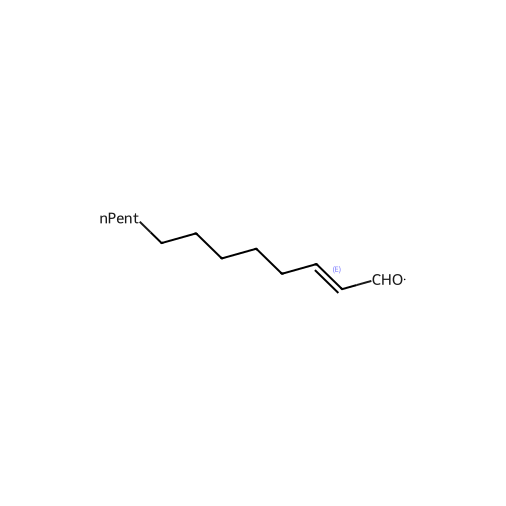 CCCCCCCCCC/C=C/[C]=O